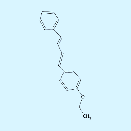 CCOc1ccc(/C=C/C=C/c2ccccc2)cc1